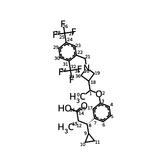 CC(Oc1cccc([C@H](C2CC2)[C@H](C)C(=O)O)c1)C1CN(Cc2cc(C(F)(F)F)ccc2C(F)(F)F)C1